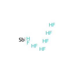 F.F.F.F.F.F.[Sb]